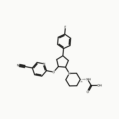 N#Cc1ccc(OC2CC(c3ccc(F)cc3)CC2N2CCC[C@@H](NC(=O)O)C2)nc1